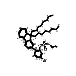 CCCCCCCCC1(CCCCCCCC)c2ccccc2-c2ccc(-c3ccc(Br)cc3OS(=O)(=O)OCC)cc21